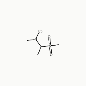 C[CH]N(C)C(C)S(C)(=O)=O